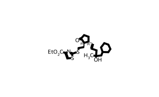 CCOC(=O)c1csc(SCC[C@H]2C(=O)CC[C@@H]2C=CCC(C)(O)CC2CCCCC2)n1